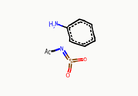 CC(=O)N=S(=O)=O.Nc1ccccc1